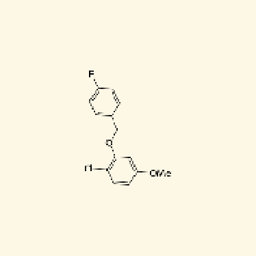 COc1ccc(Cl)c(OCc2ccc(F)cc2)c1